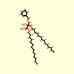 CCCCCCCCCCCCCCOC(O)C(O)(CSCc1ccccc1)OCCCCCCCCCCCCCC